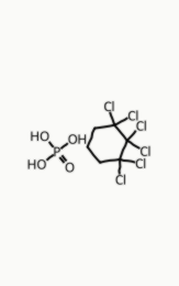 ClC1(Cl)CCCC(Cl)(Cl)C1(Cl)Cl.O=P(O)(O)O